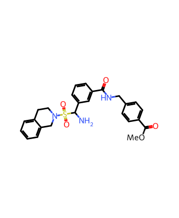 COC(=O)c1ccc(CNC(=O)c2cccc(C(N)S(=O)(=O)N3CCc4ccccc4C3)c2)cc1